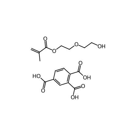 C=C(C)C(=O)OCCOCCO.O=C(O)c1ccc(C(=O)O)c(C(=O)O)c1